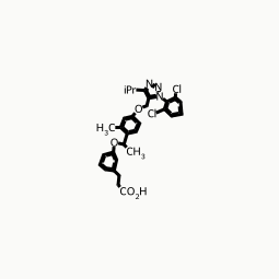 Cc1cc(OCc2c(C(C)C)nnn2-c2c(Cl)cccc2Cl)ccc1C(C)Oc1cccc(CCC(=O)O)c1